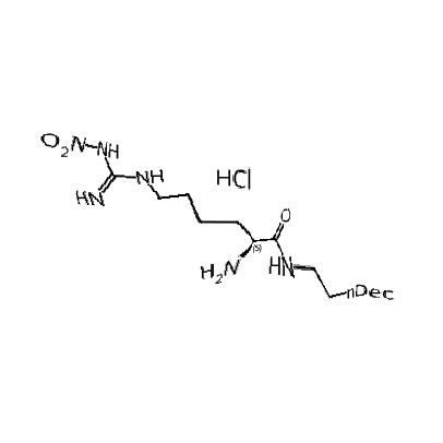 CCCCCCCCCCCCNC(=O)[C@@H](N)CCCCNC(=N)N[N+](=O)[O-].Cl